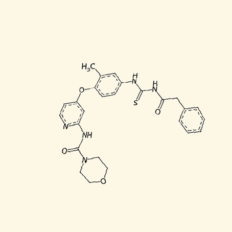 Cc1cc(NC(=S)NC(=O)Cc2ccccc2)ccc1Oc1ccnc(NC(=O)N2CCOCC2)c1